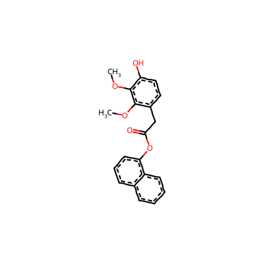 COc1c(O)ccc(CC(=O)Oc2cccc3ccccc23)c1OC